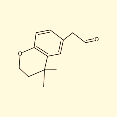 CC1(C)CCOc2ccc(CC=O)cc21